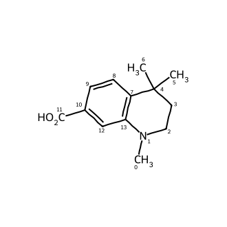 CN1CCC(C)(C)c2ccc(C(=O)O)cc21